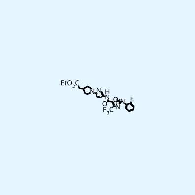 CCOC(=O)CC1CCN(c2ccc(NC(=O)c3oc(Nc4ccccc4F)nc3C(F)(F)F)cn2)CC1